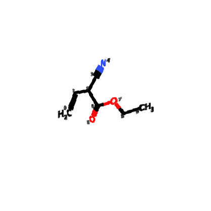 C=CC(C#N)C(=O)OCC